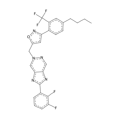 CCCCc1ccc(-c2cc(Cn3cc4nc(-c5cccc(F)c5F)nc-4cn3)on2)c(C(F)(F)F)c1